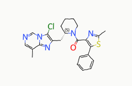 Cc1nc(C(=O)N2CCCC[C@H]2Cc2nc3c(C)cncn3c2Cl)c(-c2ccccc2)s1